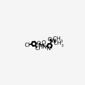 CN(C)C(=O)c1ccnc(NC(=O)COc2ccc(Cl)cc2Cl)c1